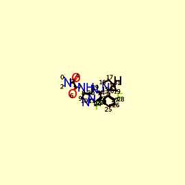 CN(C)C(=O)C(=O)Nc1cnn2ccc(N3CC[C@H]4C[C@]43c3cc(F)ccc3F)nc12